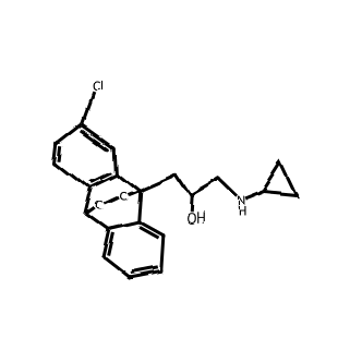 OC(CNC1CC1)CC12CCC(c3ccccc31)c1ccc(Cl)cc12